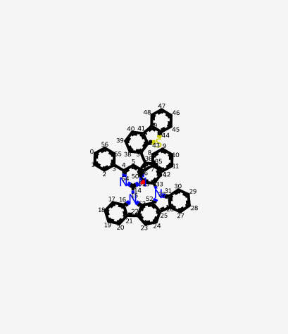 c1ccc(-c2cc(-c3ccccc3)nc(-n3c4ccccc4c4ccc5c6ccccc6n(-c6ccc(-c7cccc8c7sc7ccccc78)cc6)c5c43)n2)cc1